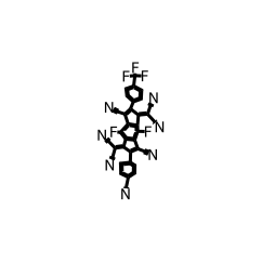 N#CC(C#N)=C1C(c2ccc(C#N)cc2)=C(C#N)c2c(F)c3c(c(F)c21)C(C#N)=C(c1ccc(C(F)(F)F)cc1)C3=C(C#N)C#N